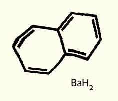 [BaH2].c1ccc2ccccc2c1